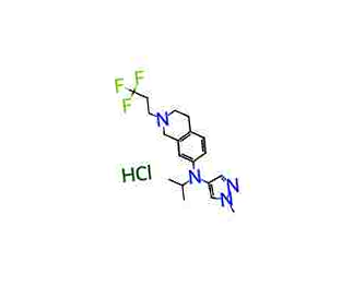 CC(C)N(c1ccc2c(c1)CN(CCC(F)(F)F)CC2)c1cnn(C)c1.Cl